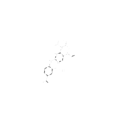 COc1cc(C(=O)O)ccc1Nc1ncc(N(C)C=O)c(N(C(C)C)C(C)C)n1